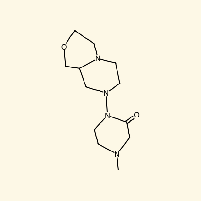 CN1CCN(N2CCN3CCOCC3C2)C(=O)C1